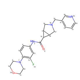 O=C(Nc1ccc(N2CCOCC2)c(F)c1)C1C2CN(Cc3cccnc3)CC21